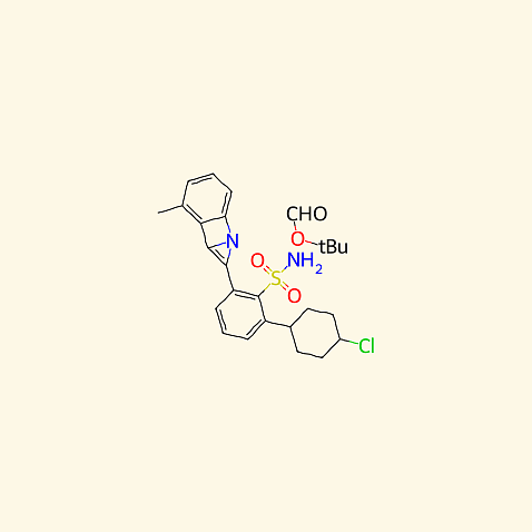 CC(C)(C)OC=O.Cc1cccc2c1c1c(-c3cccc(C4CCC(Cl)CC4)c3S(N)(=O)=O)n2-1